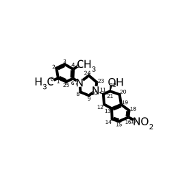 Cc1ccc(C)c(N2CCN([C@H]3Cc4ccc([N+](=O)[O-])cc4C[C@@H]3O)CC2)c1